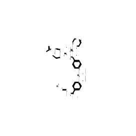 CC(C)N1CCCN(c2nc(-c3ccc(NC(=O)Nc4ccc(C(=O)N(C)CCN(C)C)cc4)cc3)nc(N3CCOCC3)n2)CC1